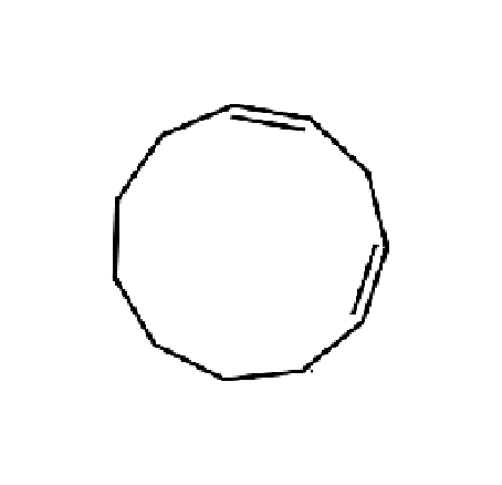 [CH]1C=CCC=CCCCCC1